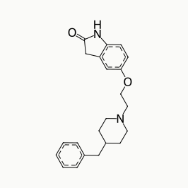 O=C1Cc2cc(OCCN3CCC(Cc4ccccc4)CC3)ccc2N1